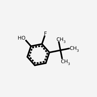 CC(C)(C)c1cccc(O)c1F